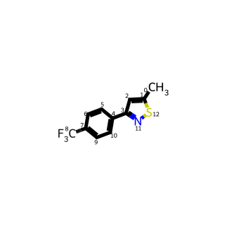 Cc1cc(-c2ccc(C(F)(F)F)cc2)ns1